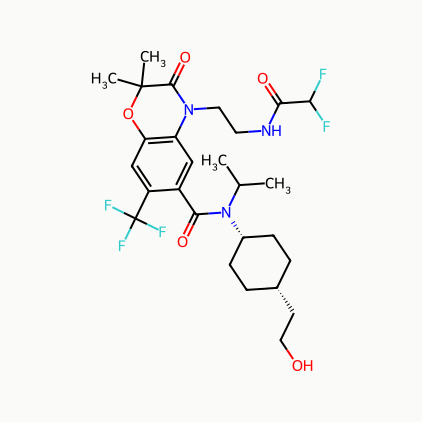 CC(C)N(C(=O)c1cc2c(cc1C(F)(F)F)OC(C)(C)C(=O)N2CCNC(=O)C(F)F)[C@H]1CC[C@@H](CCO)CC1